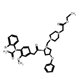 CCOC(=O)CN1CCN(CN2C[C@@H](Oc3ccccc3)C[C@H]2C(=O)Cc2ccc(N(C(N)=O)c3ccccc3Br)c(OC)c2)CC1